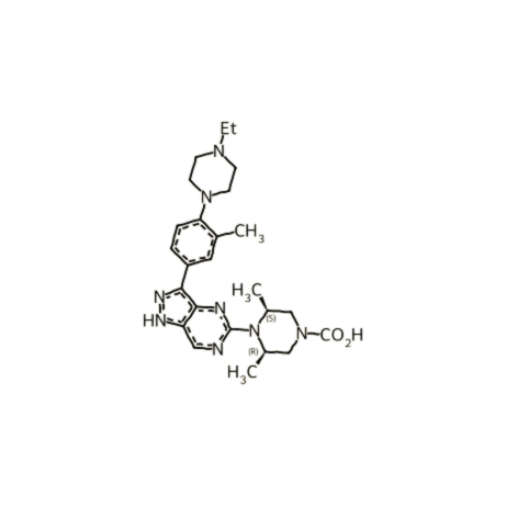 CCN1CCN(c2ccc(-c3n[nH]c4cnc(N5[C@H](C)CN(C(=O)O)C[C@@H]5C)nc34)cc2C)CC1